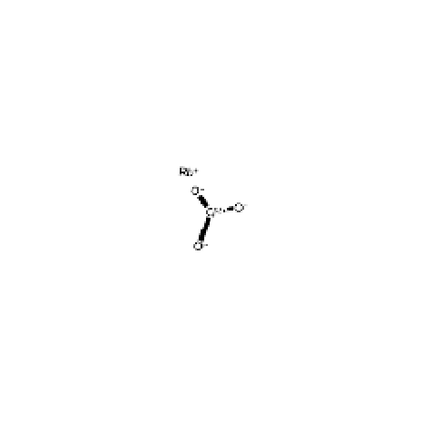 [O-][Cl+2]([O-])[O-].[Rb+]